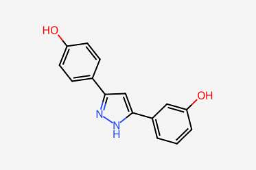 Oc1ccc(-c2cc(-c3cccc(O)c3)[nH]n2)cc1